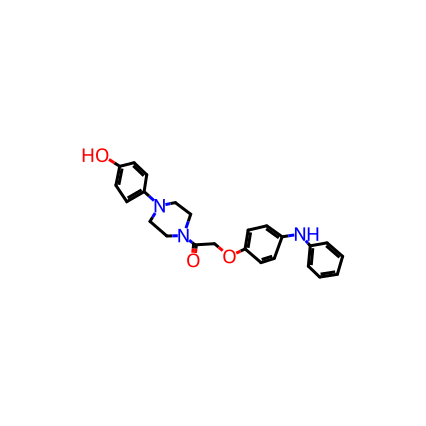 O=C(COc1ccc(Nc2ccccc2)cc1)N1CCN(c2ccc(O)cc2)CC1